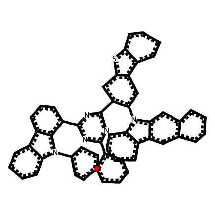 c1ccc(-c2nc(-c3cc4sc5ccccc5c4cc3-n3c4ccccc4c4cc5ccccc5cc43)nc(-c3cccc4c5ccccc5n(-c5ccccc5)c34)n2)cc1